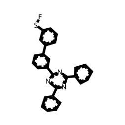 FSc1cccc(-c2cccc(-c3nc(-c4ccccc4)nc(-c4ccccc4)n3)c2)c1